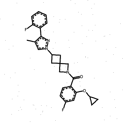 Cc1cn(C2CC3(C2)CN(C(=O)c2ccc(F)cc2OC2CC2)C3)nc1-c1ccccc1F